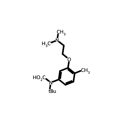 Cc1ccc(N(C(=O)O)C(C)(C)C)cc1OCCN(C)C